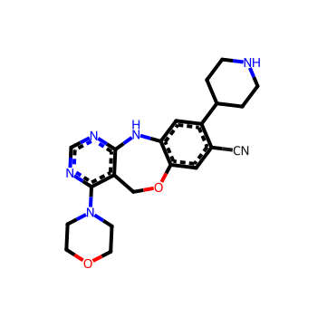 N#Cc1cc2c(cc1C1CCNCC1)Nc1ncnc(N3CCOCC3)c1CO2